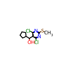 CSc1nc(Cl)c(C(O)C2CCCC2)c(Cl)n1